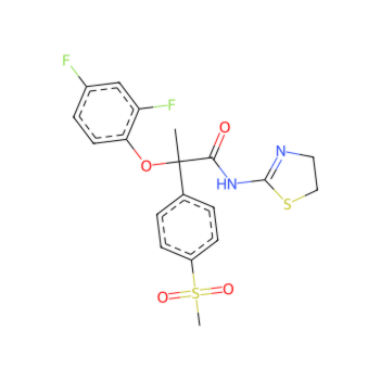 CC(Oc1ccc(F)cc1F)(C(=O)NC1=NCCS1)c1ccc(S(C)(=O)=O)cc1